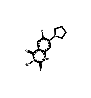 O=c1[nH]c2cc(N3CCCC3)c(F)cc2c(=O)n1O